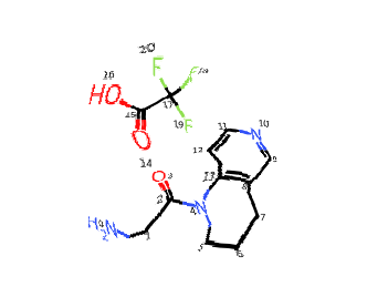 NCC(=O)N1CCCc2cnccc21.O=C(O)C(F)(F)F